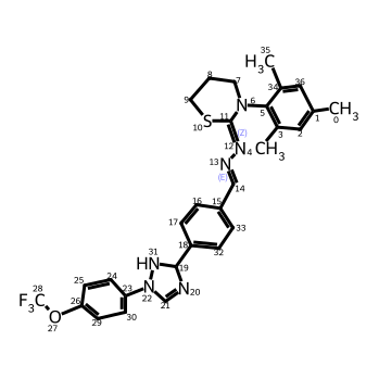 Cc1cc(C)c(N2CCCS/C2=N\N=C\c2ccc(C3N=CN(c4ccc(OC(F)(F)F)cc4)N3)cc2)c(C)c1